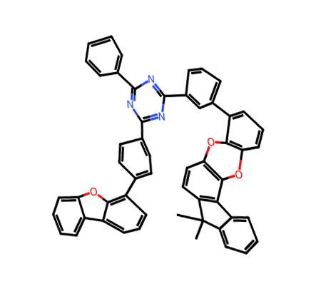 CC1(C)c2ccccc2-c2c1ccc1c2Oc2cccc(-c3cccc(-c4nc(-c5ccccc5)nc(-c5ccc(-c6cccc7c6oc6ccccc67)cc5)n4)c3)c2O1